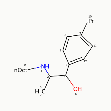 CCCCCCCCNC(C)C(O)c1ccc(C(C)C)cc1